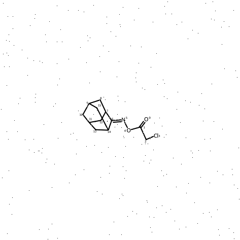 O=C(CCl)ON=C1C2CC3CC(C2)CC1C3